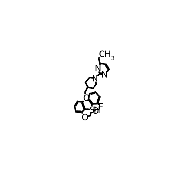 CCc1ccnc(N2CCC(COc3cccc4c3[SH](=O)(c3ccccc3F)CO4)CC2)n1